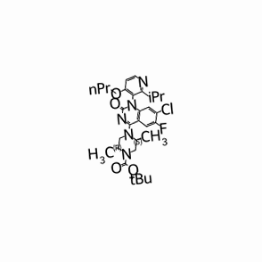 CCCOc1ccnc(C(C)C)c1-n1c(=O)nc(N2C[C@@H](C)N(C(=O)OC(C)(C)C)C[C@@H]2C)c2cc(F)c(Cl)cc21